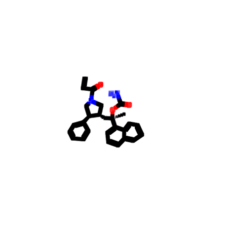 C=CC(=O)N1C[C@H](C[C@@](C)(OC(N)=O)c2cccc3ccccc23)[C@@H](c2ccccc2)C1